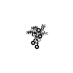 CC(=O)O[C@@H]1[C@@H](OC(C)=O)[C@H](N=[N+]=[N-])C[C@H](N=[N+]=[N-])[C@H]1O[C@H]1O[C@H]([C@@H](c2ccccc2)N(Cc2ccccc2)C(=O)OCc2ccccc2)CCC1N=[N+]=[N-]